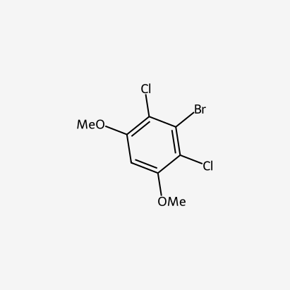 COc1cc(OC)c(Cl)c(Br)c1Cl